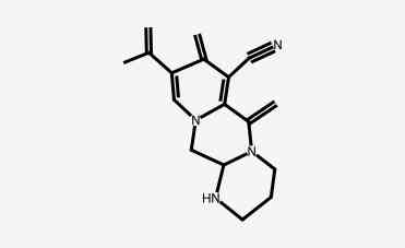 C=C(C)C1=CN2CC3NCCCN3C(=C)C2=C(C#N)C1=C